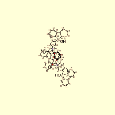 O=C1C2C3C=C(C(O)(c4ccccc4)c4ccccn4)C(/C3=C(\c3ccccc3)c3ccccn3)C2C(=O)N1CN1C(=O)C2C3C=C(C(O)(c4ccccc4)c4ccccn4)C(/C3=C(\c3ccccc3)c3ccccn3)C2C1=O